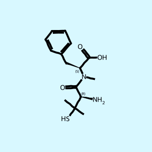 CN(C(=O)[C@@H](N)C(C)(C)S)[C@@H](Cc1ccccc1)C(=O)O